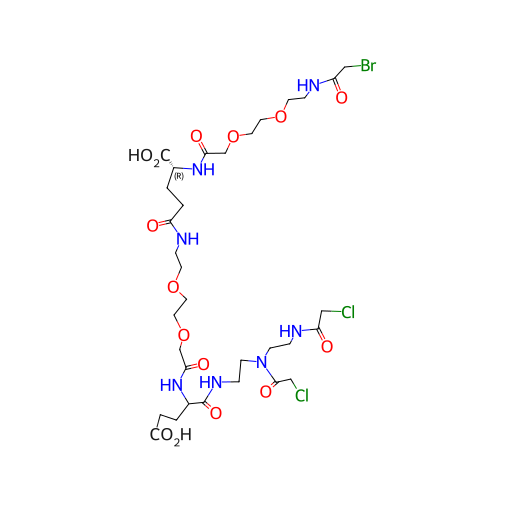 O=C(O)CCC(NC(=O)COCCOCCNC(=O)CC[C@@H](NC(=O)COCCOCCNC(=O)CBr)C(=O)O)C(=O)NCCN(CCNC(=O)CCl)C(=O)CCl